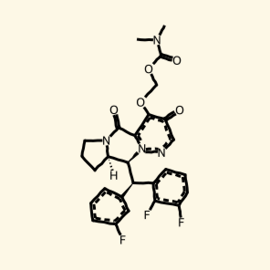 CN(C)C(=O)OCOc1c2n(ncc1=O)[C@@H]([C@H](c1cccc(F)c1)c1cccc(F)c1F)[C@H]1CCCN1C2=O